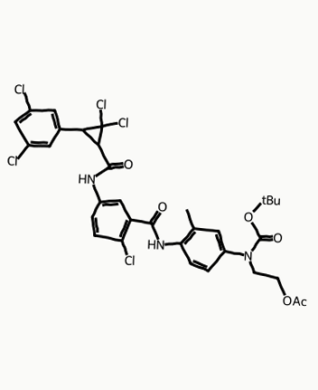 CC(=O)OCCN(C(=O)OC(C)(C)C)c1ccc(NC(=O)c2cc(NC(=O)C3C(c4cc(Cl)cc(Cl)c4)C3(Cl)Cl)ccc2Cl)c(C)c1